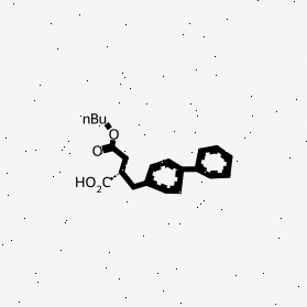 CCCCOC(=O)C[C@H](Cc1ccc(-c2ccccc2)cc1)C(=O)O